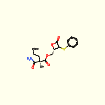 CCCCCCCCCCCC[C@](C(N)=O)(C(=O)OC[C@@H]1OC(=O)[C@H]1Sc1ccccc1)C(C)C